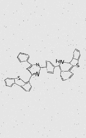 c1ccc(-c2cc(-c3cccc4c3sc3ccccc34)nc(-c3ccc(C4=c5ccccc5=C5Sc6ccccc6C5N4)cc3)n2)cc1